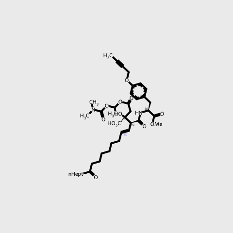 CC#CCOc1ccc(C[C@H](NC(=O)[C@@H](/C=C/CCCCCCC(=O)CCCCCCC)[C@@](O)(CC(=O)OC(C)OC(=O)N(C)C)C(=O)O)C(=O)OC)cc1